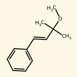 COC(C)(C)/C=C/c1ccccc1